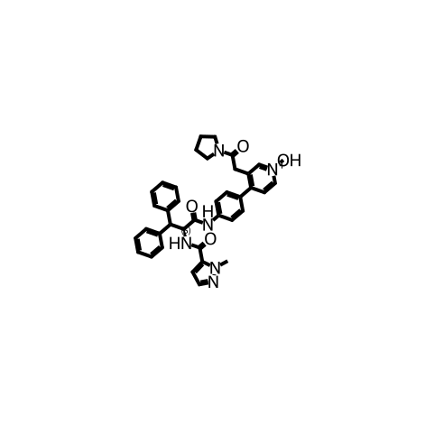 Cn1nccc1C(=O)N[C@H](C(=O)Nc1ccc(-c2cc[n+](O)cc2CC(=O)N2CCCC2)cc1)C(c1ccccc1)c1ccccc1